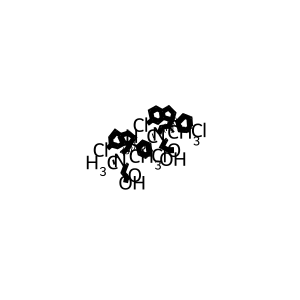 C[C@@H](CN(C)CCC(=O)O)[C@@]1(c2ccc(Cl)cc2)CCc2ccc(Cl)cc21.C[C@H](CN(C)CCC(=O)O)[C@@]1(c2ccc(Cl)cc2)CCc2ccc(Cl)cc21